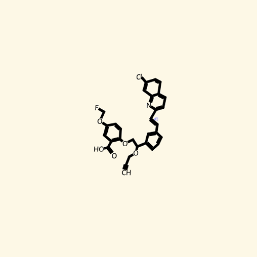 C#CCOC(COc1ccc(OCF)cc1C(=O)O)c1cccc(/C=C/c2ccc3ccc(Cl)cc3n2)c1